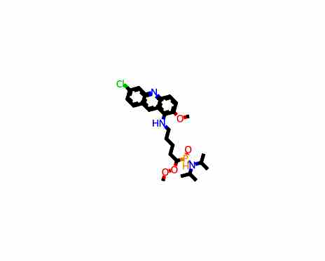 COOC(CCCCNc1c(OC)ccc2nc3cc(Cl)ccc3cc12)[PH](=O)N(C(C)C)C(C)C